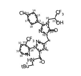 CC(C)(C)CNC(=O)c1nc(Cn2nc(-c3ccc(Cl)cc3)n(C[C@H](O)C(F)(F)F)c2=O)nn1-c1ncccc1C(F)(F)F